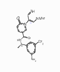 CN/C=C(\C=N)n1cc(C(=O)N[C@H](C)c2cc(N)cc(C(F)(F)F)c2)ccc1=O